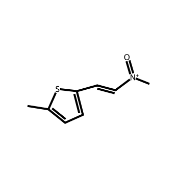 Cc1ccc(/C=C/[N+](C)=O)s1